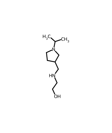 CC(C)N1CCC(CNCCO)C1